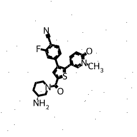 Cn1cc(-c2sc(C(=O)N3CCC[C@@H](N)C3)cc2-c2ccc(C#N)c(F)c2)ccc1=O